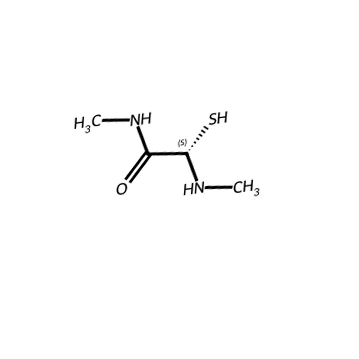 CNC(=O)[C@H](S)NC